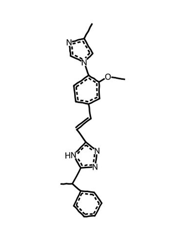 COc1cc(C=Cc2nnc(C(C)c3ccccc3)[nH]2)ccc1-n1cnc(C)c1